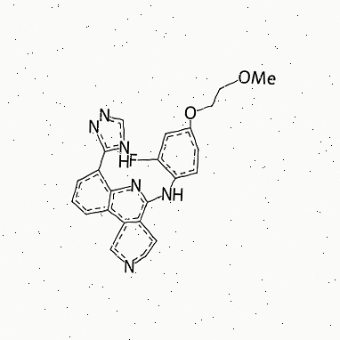 COCCOc1ccc(Nc2nc3c(-c4nnc[nH]4)cccc3c3cnccc23)c(F)c1